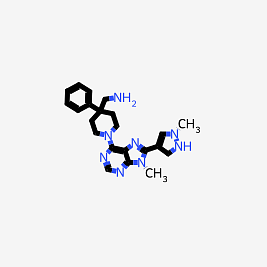 CN1C=C(c2nc3c(N4CCC(CN)(c5ccccc5)CC4)ncnc3n2C)CN1